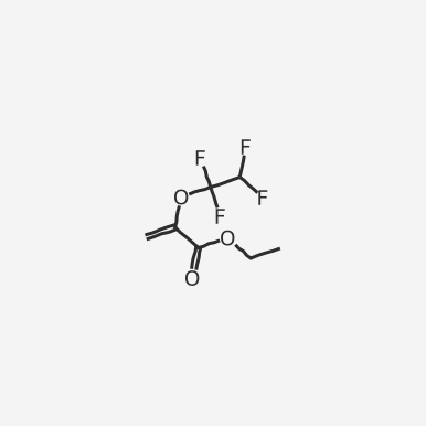 C=C(OC(F)(F)C(F)F)C(=O)OCC